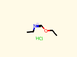 CC/N=C\OCC.Cl